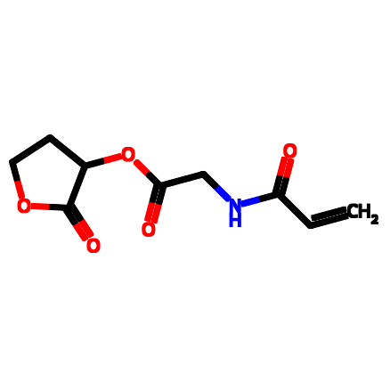 C=CC(=O)NCC(=O)OC1CCOC1=O